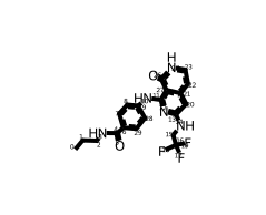 CCCNC(=O)c1ccc(Nc2nc(NCC(F)(F)F)cc3cc[nH]c(=O)c23)cc1